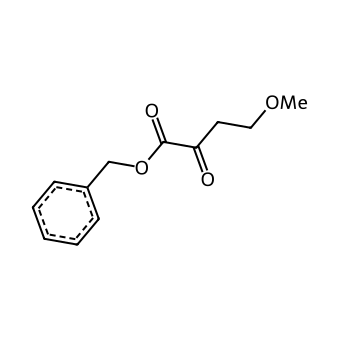 COCCC(=O)C(=O)OCc1ccccc1